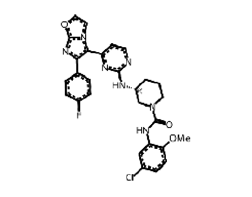 COc1ccc(Cl)cc1NC(=O)N1CCC[C@@H](Nc2nccc(-c3c(-c4ccc(F)cc4)nc4occn34)n2)C1